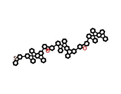 c1ccc2c(c1)-c1cc(-c3cccc4c3oc3ccc(-c5cccc6c5-c5ccccc5C65c6ccccc6-c6cc7c8cc(-c9ccc%10c(c9)oc9ccc(-c%11cccc%12c%11-c%11ccccc%11C%12%11c%12ccccc%12-c%12c%11cc%11c%13c(cccc%12%13)-c%12ccccc%12-%11)cc9%10)ccc8c8ccccc8c7cc65)cc34)cc3c4c(cc-2c13)C1(c2ccccc2-c2cc(-c3ccc5sc6ccccc6c5c3)ccc21)c1ccccc1-4